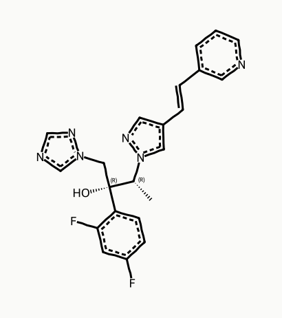 C[C@@H](n1cc(C=Cc2cccnc2)cn1)[C@](O)(Cn1cncn1)c1ccc(F)cc1F